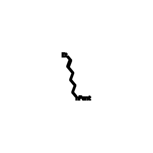 [CH2]C/C=C/CCCCCCCC[CH2]